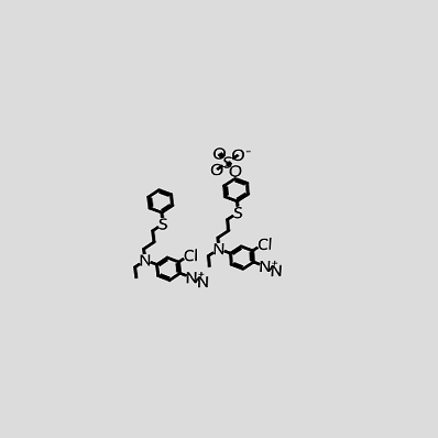 CCN(CCCSc1ccccc1)c1ccc([N+]#N)c(Cl)c1.CCN(CCCSc1ccccc1)c1ccc([N+]#N)c(Cl)c1.O=S(=O)([O-])[O-]